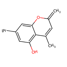 C=C1C=C(C)c2c(O)cc(C(C)C)cc2O1